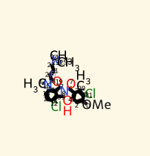 COc1cc(O)c(C(=O)N2Cc3c(Cl)ccc(N(C)C(=O)/C=C/CN(C)C)c3C2)c(C)c1Cl